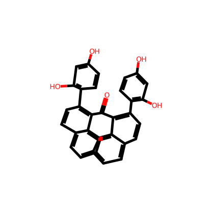 O=C(c1c(-c2ccc(O)cc2O)ccc2ccccc12)c1c(-c2ccc(O)cc2O)ccc2ccccc12